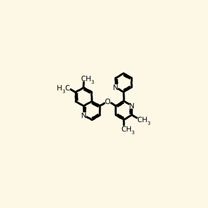 Cc1cc2nccc(Oc3cc(C)c(C)nc3-c3ccccn3)c2cc1C